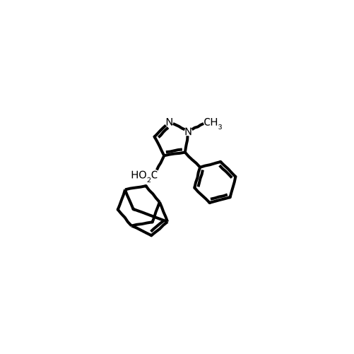 C1=C2CC3CC1CC2C3.Cn1ncc(C(=O)O)c1-c1ccccc1